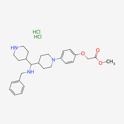 COC(=O)COc1ccc(N2CCC(C(NCc3ccccc3)C3CCNCC3)CC2)cc1.Cl.Cl